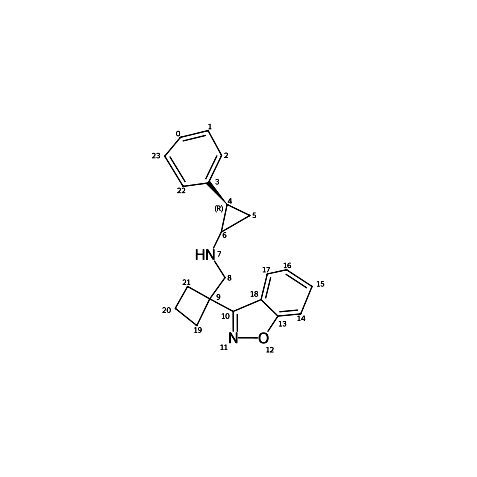 c1ccc([C@H]2CC2NCC2(c3noc4ccccc34)CCC2)cc1